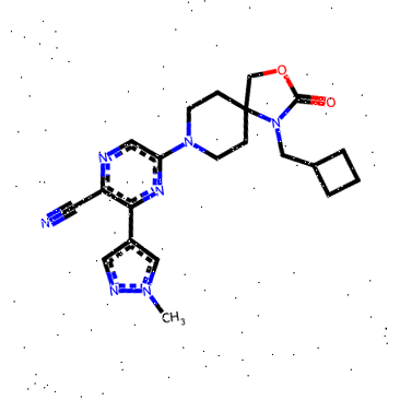 Cn1cc(-c2nc(N3CCC4(CC3)COC(=O)N4CC3CCC3)cnc2C#N)cn1